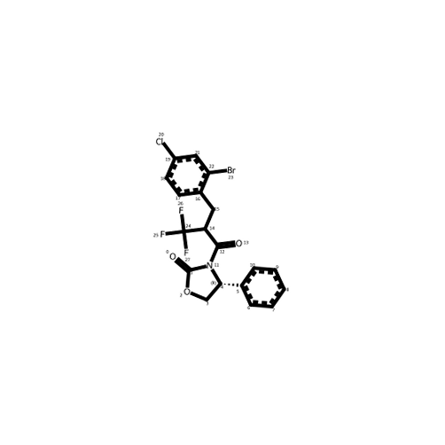 O=C1OC[C@@H](c2ccccc2)N1C(=O)C(Cc1ccc(Cl)cc1Br)C(F)(F)F